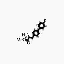 COC(=O)[C@@H](N)Cc1ccc(-c2ccc(F)cc2)cc1